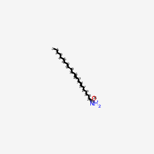 CCCCCCCCCCC/C=C/C=C/C=C/C=C/C=C/C=C/C(N)=O